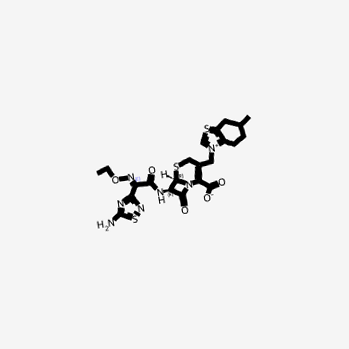 CCO/N=C(/C(=O)N[C@@H]1C(=O)N2C(C(=O)[O-])=C(C[n+]3csc4c3CCC(C)C4)CS[C@H]12)c1nsc(N)n1